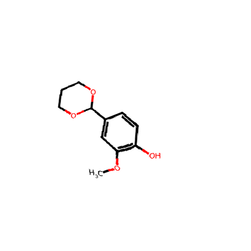 COc1cc(C2OCCCO2)ccc1O